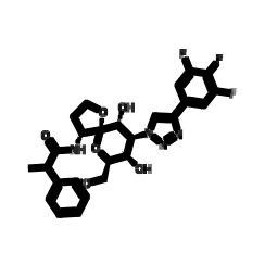 CC(C(=O)N[C@@H]1CCO[C@]12O[C@H](CO)[C@H](O)[C@H](n1cc(-c3cc(F)c(F)c(F)c3)nn1)[C@H]2O)c1ccccc1